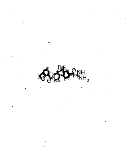 N=C(N)NC(=O)c1ccc(C2CCN(C(=O)c3cccc4c3OCC4)CC2)c(C(F)(F)F)c1